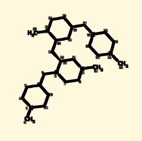 CN1CCC(CN2CCN(C)C[C@@H]2CC2CC(CN3CCN(C)CC3)CCN2C)CC1